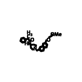 COCCOCc1ccc2ccc(CN3CCC(NC(=O)[C@H](C)c4ccccc4)CC3)cc2c1